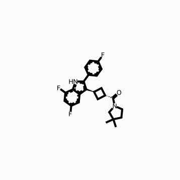 CC1(C)CCN(C(=O)[C@H]2C[C@H](c3c(-c4ccc(F)cc4)[nH]c4c(F)cc(F)cc43)C2)C1